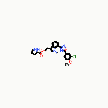 CC(C)Oc1ccc(-c2nc(-c3cccc4c(CCOC(=O)[C@@H]5CCCN5)cn(C)c34)no2)cc1Cl